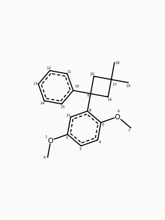 COc1ccc(OC)c(C2(c3ccccc3)CC(C)(C)C2)c1